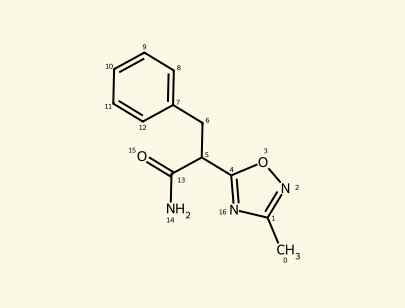 Cc1noc(C(Cc2ccccc2)C(N)=O)n1